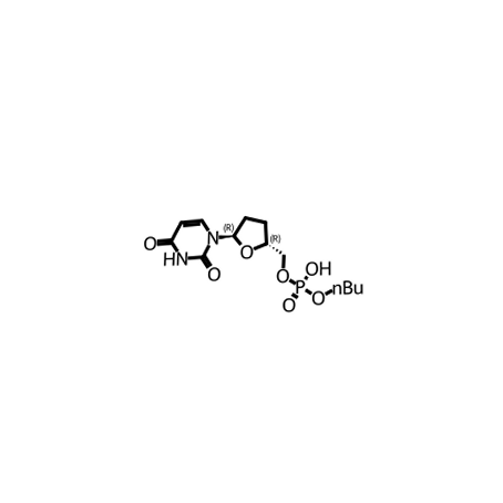 CCCCOP(=O)(O)OC[C@H]1CC[C@H](n2ccc(=O)[nH]c2=O)O1